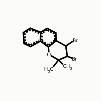 CC1(C)Oc2c(ccc3ccccc23)C(Br)C1Br